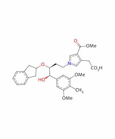 COC(=O)c1cn(CC[C@H](OC2Cc3ccccc3C2)[C@H](O)c2cc(OC)c(C)c(OC)c2)cc1CC(=O)O